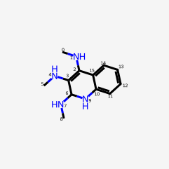 CNC1=C(NC)C(NC)Nc2ccccc21